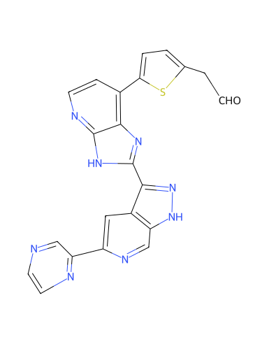 O=CCc1ccc(-c2ccnc3[nH]c(-c4n[nH]c5cnc(-c6cnccn6)cc45)nc23)s1